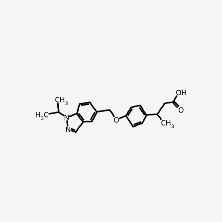 CC(CC(=O)O)c1ccc(OCc2ccc3c(cnn3C(C)C)c2)cc1